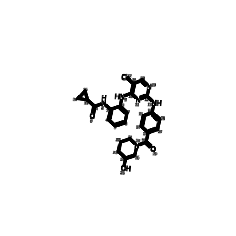 O=C(Nc1ccccc1Nc1nc(Nc2ccc(C(=O)N3CCCC(O)C3)cc2)ncc1Cl)C1CC1